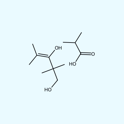 CC(C)=C(O)C(C)(C)CO.CC(C)C(=O)O